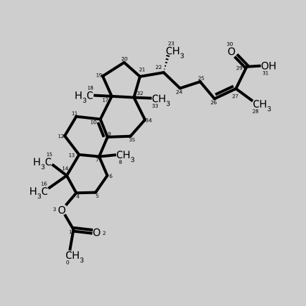 CC(=O)OC1CCC2(C)C3=C(CCC2C1(C)C)C1(C)CCC([C@H](C)CC/C=C(/C)C(=O)O)C1(C)CC3